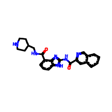 O=C(Nc1nc2c(C(=O)NCC3CCNCC3)cccc2[nH]1)c1cc2ccccc2cn1